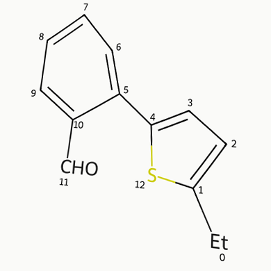 CCc1ccc(-c2ccccc2C=O)s1